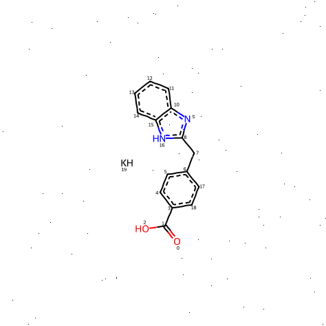 O=C(O)c1ccc(Cc2nc3ccccc3[nH]2)cc1.[KH]